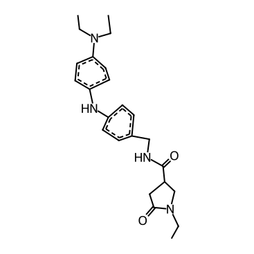 CCN1CC(C(=O)NCc2ccc(Nc3ccc(N(CC)CC)cc3)cc2)CC1=O